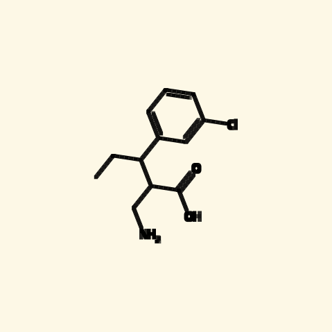 CCC(c1cccc(Cl)c1)C(CN)C(=O)O